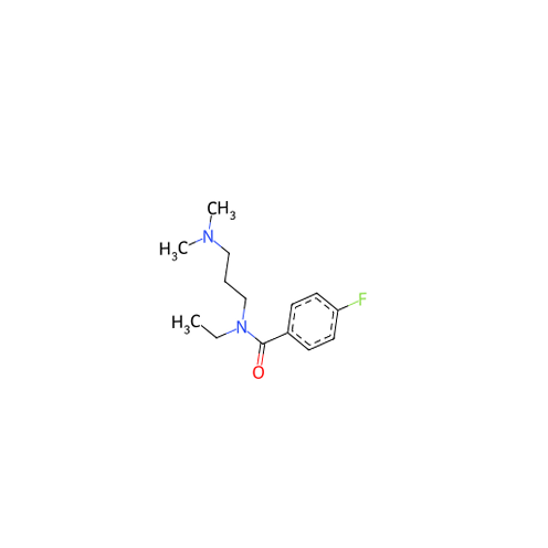 CCN(CCCN(C)C)C(=O)c1ccc(F)cc1